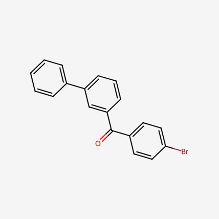 O=C(c1ccc(Br)cc1)c1cccc(-c2ccccc2)c1